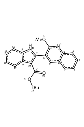 COc1nc2ccccc2cc1-c1[nH]c2cnccc2c1C(=O)OC(C)(C)C